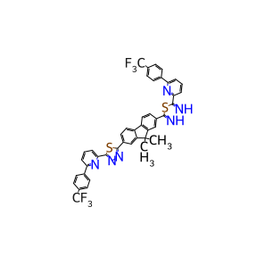 CC1(C)c2cc(C(=N)SC(=N)c3cccc(-c4ccc(C(F)(F)F)cc4)n3)ccc2-c2ccc(-c3nnc(-c4cccc(-c5ccc(C(F)(F)F)cc5)n4)s3)cc21